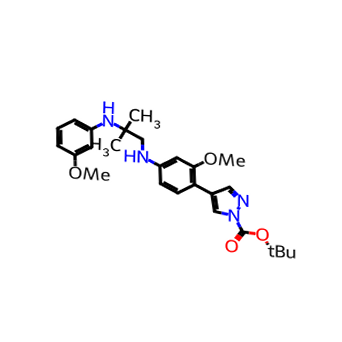 COc1cccc(NC(C)(C)CNc2ccc(-c3cnn(C(=O)OC(C)(C)C)c3)c(OC)c2)c1